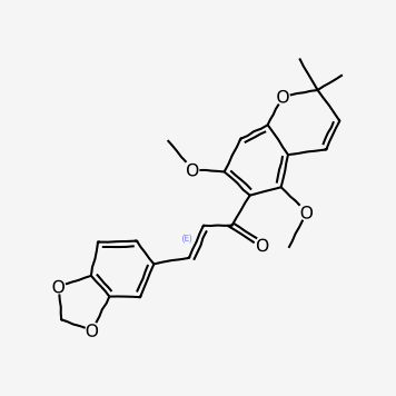 COc1cc2c(c(OC)c1C(=O)/C=C/c1ccc3c(c1)OCO3)C=CC(C)(C)O2